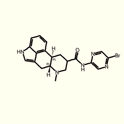 CN1CC(C(=O)Nc2cnc(Br)cn2)C[C@@H]2c3cccc4[nH]cc(c34)C[C@H]21